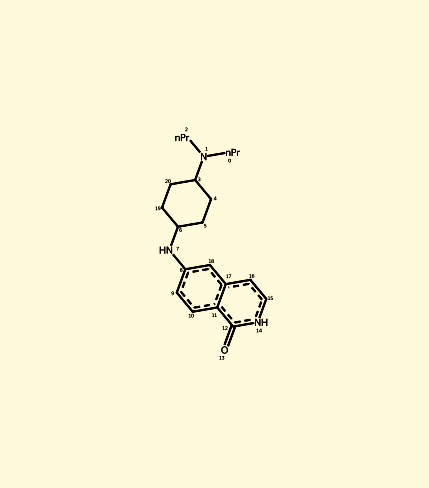 CCCN(CCC)C1CCC(Nc2ccc3c(=O)[nH]ccc3c2)CC1